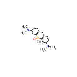 CN(C)c1ccc2c(c1)P(C)(=O)c1cc(N(C)C)ccc1C2